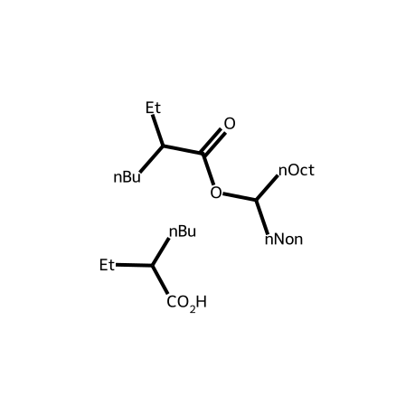 CCCCC(CC)C(=O)O.CCCCCCCCCC(CCCCCCCC)OC(=O)C(CC)CCCC